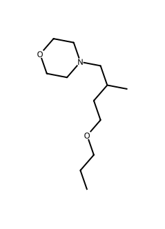 CCCOCCC(C)CN1CCOCC1